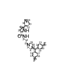 O=C(NCCCN1CCN(C(c2ccc(F)cc2)c2ccc(F)cc2)CC1)[C@@H]1CSC(c2cccnc2)N1